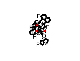 CC(C)[Si](C#Cc1c(F)ccc2cccc(-c3nc4c5c(nc(OC[C@@]67CCCN6C[C@H](F)C7)nc5c3F)N3C[C@H]5CC[C@@H]([C@H]3C[C@H]4F)N5C(=O)OC(C)(C)C)c12)(C(C)C)C(C)C